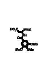 CCCCCC(CC(=O)O)NC(=O)c1cc(OC)c(OC)c(OC)c1